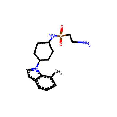 Cc1cccc2ccn(C3CCC(NS(=O)(=O)CCN)CC3)c12